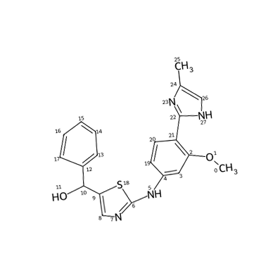 COc1cc(Nc2ncc(C(O)c3ccccc3)s2)ccc1-c1nc(C)c[nH]1